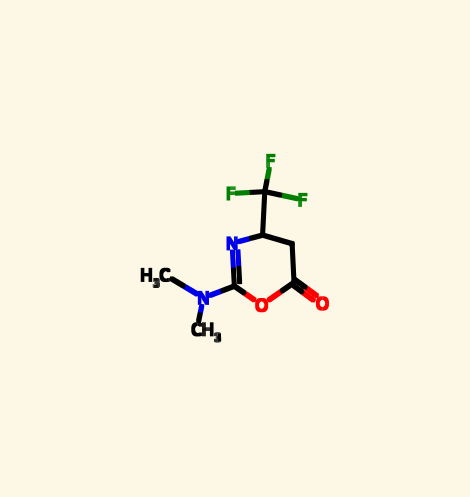 CN(C)C1=NC(C(F)(F)F)CC(=O)O1